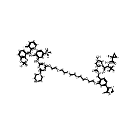 Cc1ncsc1-c1ccc(CNC(=O)[C@@H]2C[C@@H](O)CN2C(=O)[C@@H](NC(=O)C2(F)CC2)C(C)(C)C)c(OCCOCCOCCOCCOCCOc2nc(Nc3cc(S(C)(=O)=O)ccc3N[C@@H](c3cccc4c3OC(F)(F)O4)c3ncccc3Cl)nc(N3CCNCC3)n2)c1